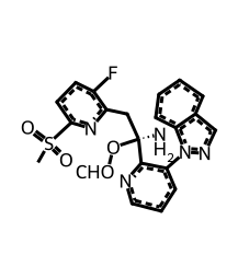 CS(=O)(=O)c1ccc(F)c(C[C@](N)(OC=O)c2ncccc2-n2ncc3ccccc32)n1